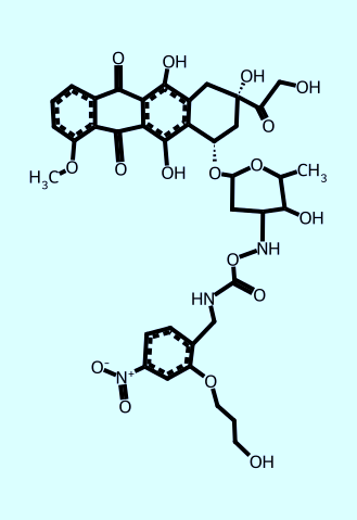 COc1cccc2c1C(=O)c1c(O)c3c(c(O)c1C2=O)C[C@@](O)(C(=O)CO)C[C@@H]3OC1CC(NOC(=O)NCc2ccc([N+](=O)[O-])cc2OCCCO)C(O)C(C)O1